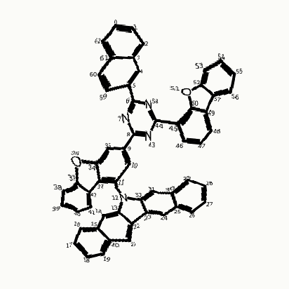 c1ccc2cc(-c3nc(-c4cc(-n5c6cc7ccccc7cc6c6cc7ccccc7cc65)c5c(c4)oc4ccccc45)nc(-c4cccc5c4oc4ccccc45)n3)ccc2c1